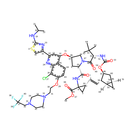 C=C[C@@H]1CC1(NC(=O)[C@@H]1C[C@@H](Oc2cc(-c3csc(NC(C)C)n3)nc3c(Cl)c(OCCN4CCN(CC(F)(F)F)CC4)ccc23)CN1C(=O)[C@@H](NC(=O)O[C@@H]1C[C@@H]2C[C@@H]2C1)C(C)(C)C)C(=O)OC